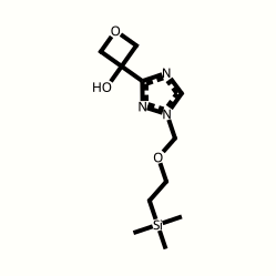 C[Si](C)(C)CCOCn1cnc(C2(O)COC2)n1